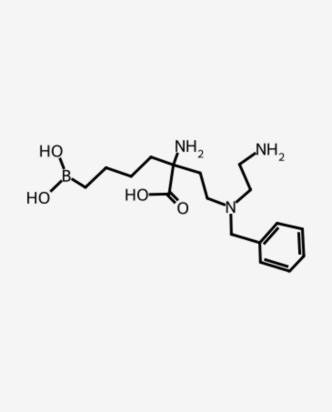 NCCN(CCC(N)(CCCCB(O)O)C(=O)O)Cc1ccccc1